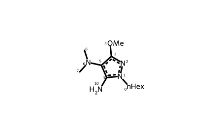 CCCCCCn1nc(OC)c(N(C)C)c1N